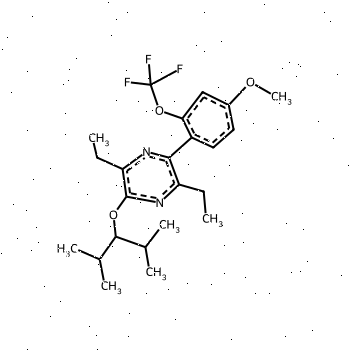 CCc1nc(-c2ccc(OC)cc2OC(F)(F)F)c(CC)nc1OC(C(C)C)C(C)C